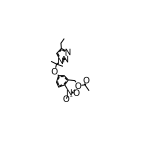 CCc1cn(C(C)(C)Oc2ccc([N+](=O)[O-])c(COC(C)=O)c2)nn1